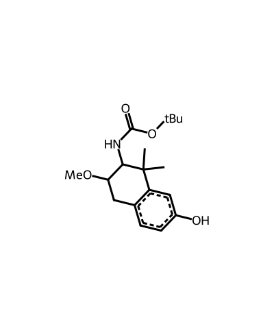 COC1Cc2ccc(O)cc2C(C)(C)C1NC(=O)OC(C)(C)C